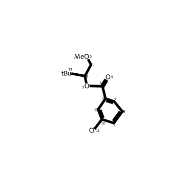 COCC(OC(=O)c1cccc(Cl)c1)C(C)(C)C